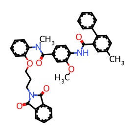 COc1cc(C(=O)N(C)c2ccccc2OCCCN2C(=O)c3ccccc3C2=O)ccc1NC(=O)c1cc(C)ccc1-c1ccccc1